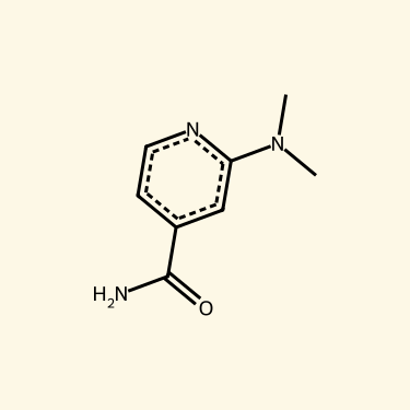 CN(C)c1cc(C(N)=O)ccn1